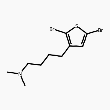 CN(C)CCCCc1cc(Br)sc1Br